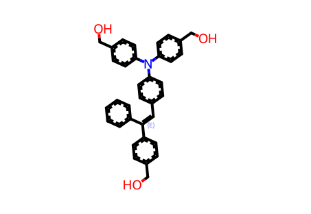 OCc1ccc(/C(=C/c2ccc(N(c3ccc(CO)cc3)c3ccc(CO)cc3)cc2)c2ccccc2)cc1